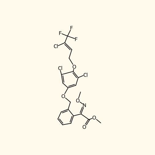 CO/N=C(/C(=O)OC)c1ccccc1COc1cc(Cl)c(OCC=C(Cl)C(F)(F)F)c(Cl)c1